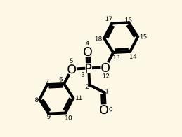 O=CCP(=O)(Oc1ccccc1)Oc1ccccc1